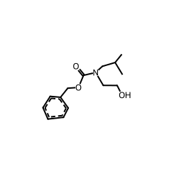 CC(C)CN(CCO)C(=O)OCc1ccccc1